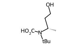 C[C@@H](CCO)N(C(=O)O)C(C)(C)C